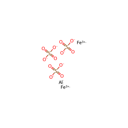 O=S(=O)([O-])[O-].O=S(=O)([O-])[O-].O=S(=O)([O-])[O-].[Al].[Fe+3].[Fe+3]